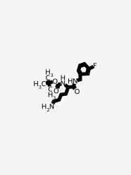 CC(C)(C)OC(=O)NC(CCCCN)C(=O)NCc1cccc(F)c1